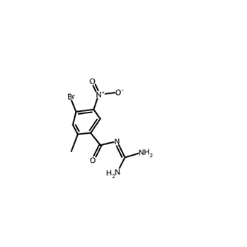 Cc1cc(Br)c([N+](=O)[O-])cc1C(=O)N=C(N)N